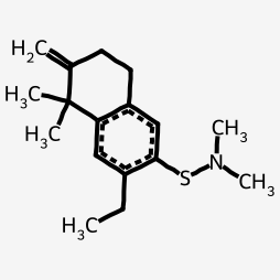 C=C1CCc2cc(SN(C)C)c(CC)cc2C1(C)C